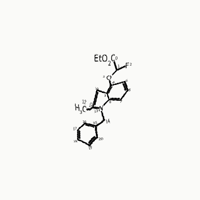 CCOC(=O)C(F)Oc1cccc2c1cc(C)n2Cc1ccccc1